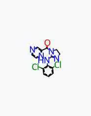 O=C(c1cnccn1)N1CCN=C1Nc1c(Cl)cccc1Cl